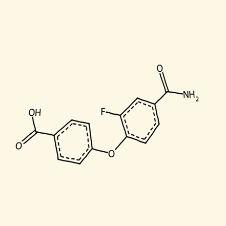 NC(=O)c1ccc(Oc2ccc(C(=O)O)cc2)c(F)c1